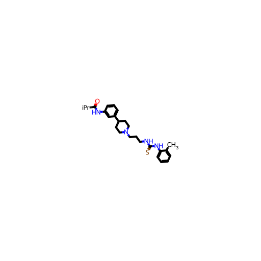 Cc1ccccc1NC(=S)NCCCN1CCC(c2cccc(NC(=O)C(C)C)c2)CC1